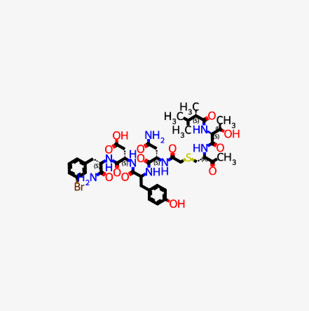 CC(=O)[C@H](CSCC(=O)N[C@@H](CC(N)=O)C(=O)NC(Cc1ccc(O)cc1)C(=O)N[C@@H](CC(=O)O)C(=O)N[C@@H](Cc1cccc(Br)c1)C(N)=O)NC(=O)[C@@H](NC(=O)[C@@H](C)C(C)C)[C@@H](C)O